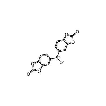 O=c1oc2ccc([S+]([O-])c3ccc4oc(=O)oc4c3)cc2o1